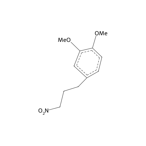 COc1ccc(CCC[N+](=O)[O-])cc1OC